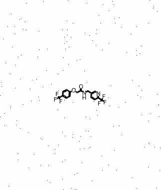 O=C(COc1ccc(C(F)(F)F)cc1)NCc1ccc(C(F)(F)F)nc1